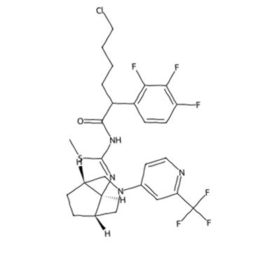 CS/C(=N\[C@@H]1[C@@H]2CC[C@H]1CN(c1ccnc(C(F)(F)F)c1)C2)NC(=O)C(CCCCCl)c1ccc(F)c(F)c1F